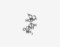 C[C@H]1C=C2C=C[C@H](C)[C@H](CC[C@@H](O)C[C@@H](O)CC(=O)ON)[C@H]2[C@@H](O)C1